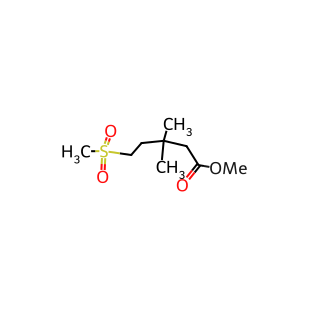 COC(=O)CC(C)(C)CCS(C)(=O)=O